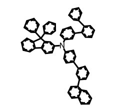 c1ccc(-c2ccccc2-c2cccc(N(c3ccc(-c4cccc(-c5cccc6ccccc56)c4)cc3)c3ccc4c(c3)C(c3ccccc3)(c3ccccc3)c3ccccc3-4)c2)cc1